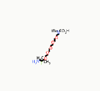 CC(C)(OCCOCCOCCOCCOCCN(C(=O)O)C(C)(C)C)C(F)CN